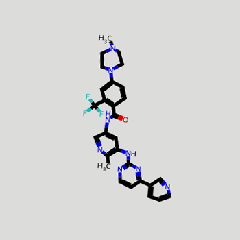 Cc1ncc(NC(=O)c2ccc(N3CCN(C)CC3)cc2C(F)(F)F)cc1Nc1nccc(-c2cccnc2)n1